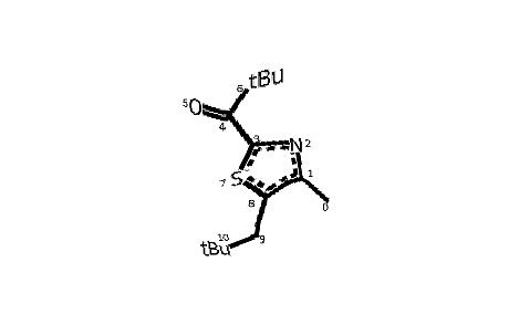 Cc1nc(C(=O)C(C)(C)C)sc1CC(C)(C)C